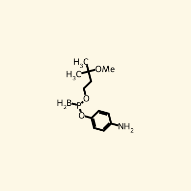 BP(OCCC(C)(C)OC)Oc1ccc(N)cc1